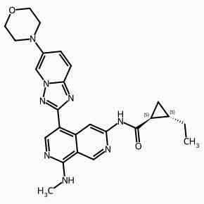 CC[C@H]1C[C@@H]1C(=O)Nc1cc2c(-c3nc4ccc(N5CCOCC5)cn4n3)cnc(NC)c2cn1